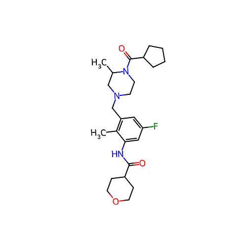 Cc1c(CN2CCN(C(=O)C3CCCC3)C(C)C2)cc(F)cc1NC(=O)C1CCOCC1